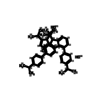 CCC1=Cc2c(-c3ccc(C(C)C)cc3)cccc2[CH]1[Zr]([CH3])([CH3])(=[SiH2])[CH]1C(C(C)C)=Cc2c(-c3ccc(C(C)C)cc3)cccc21.Cl.Cl